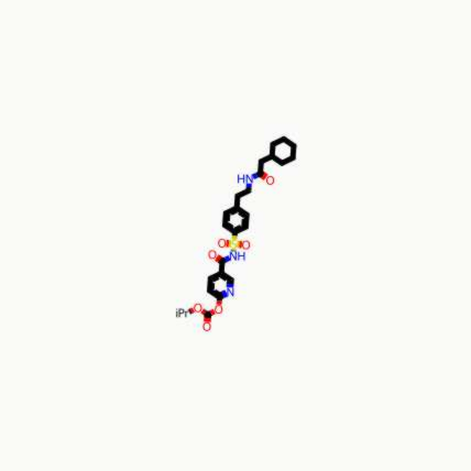 CC(C)OC(=O)Oc1ccc(C(=O)NS(=O)(=O)c2ccc(CCNC(=O)CC3CCCCC3)cc2)cn1